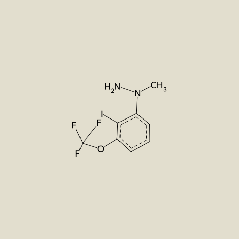 CN(N)c1cccc(OC(F)(F)F)c1I